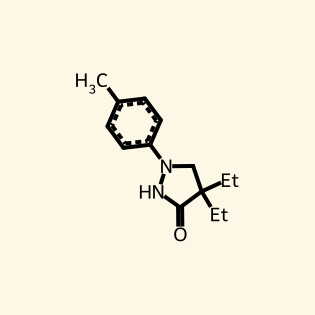 CCC1(CC)CN(c2ccc(C)cc2)NC1=O